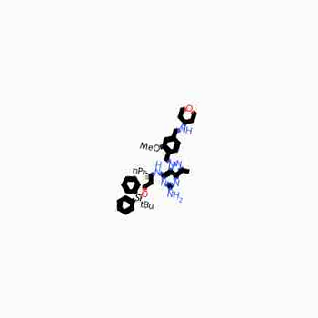 CCC[C@@H](CCO[Si](c1ccccc1)(c1ccccc1)C(C)(C)C)Nc1nc(N)nc2c(C)nn(Cc3ccc(CNC4CCOCC4)cc3OC)c12